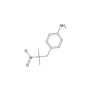 CC(C)(Cc1ccc(N)cc1)[N+](=O)[O-]